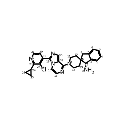 N[C@@H]1c2ccccc2CC12CCN(c1nccn3c(-c4ccnc(C5CC5)c4Cl)ncc13)CC2